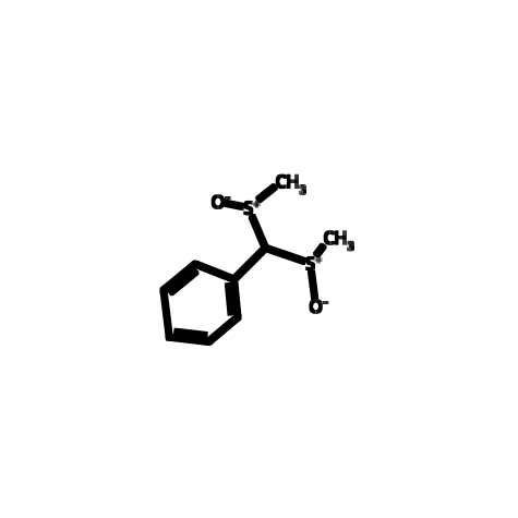 C[S+]([O-])C(c1ccccc1)[S+](C)[O-]